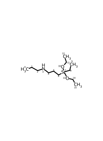 CCCNCCC[Si](CC)(OCC)OCC